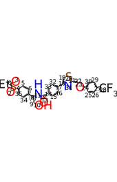 CCS(=O)(=O)c1ccc([C@H](CO)NC(=O)c2ccc(-c3csc(COc4ccc(C(F)(F)F)cc4)n3)cc2)cc1